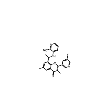 Cc1cc(C(C)Nc2cccnc2C#N)c2oc(-c3cncc(F)c3)c(C)c(=O)c2c1